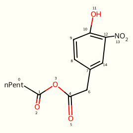 CCCCCC(=O)OC(=O)Cc1ccc(O)c([N+](=O)[O-])c1